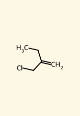 C=C(CC)CCl